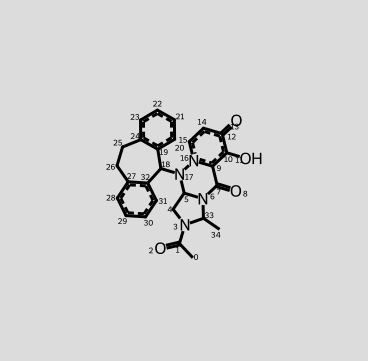 CC(=O)N1CC2N(C(=O)c3c(O)c(=O)ccn3N2C2c3ccccc3CCc3ccccc32)C1C